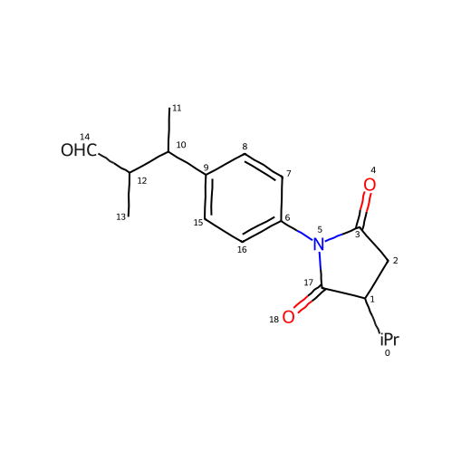 CC(C)C1CC(=O)N(c2ccc(C(C)C(C)C=O)cc2)C1=O